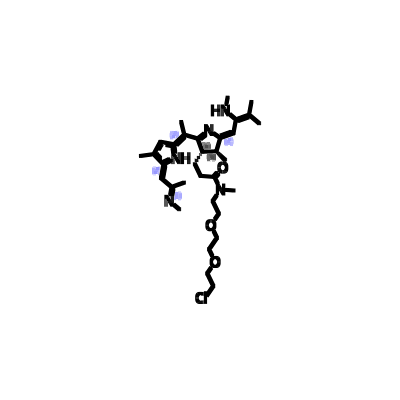 C/N=C(C)/C=c1\[nH]/c(=C(/C)C2=N/C(=C\C(NC)=C(C)C)[C@@H](C)[C@@H]2CCC(=O)N(C)CCOCCOCCCl)cc1C